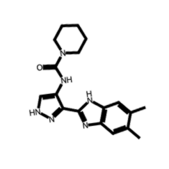 Cc1cc2nc(-c3n[nH]cc3NC(=O)N3CCCCC3)[nH]c2cc1C